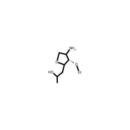 CCO[C@H]1C(N)COC1CC(C)O